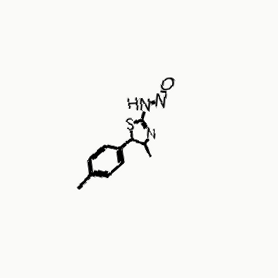 Cc1ccc(C2SC(NN=O)=NC2C)cc1